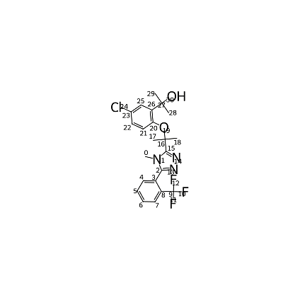 Cn1c(-c2ccccc2C(F)(F)F)nnc1C(C)(C)Oc1ccc(Cl)cc1C(C)(C)O